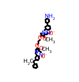 C=C(C1=CC=C2C(C1)Cn1cc(OCCCOc3cn4c(c3OC)C=[N+]([O-])C3=CC=C(c5ccc(N)cc5)CC3C4)c(OC)c1C=[N+]2[O-])c1ccccc1